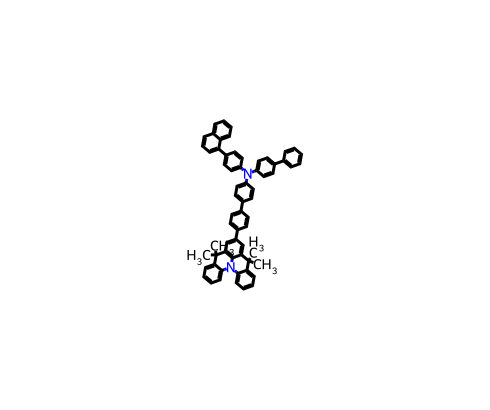 CC1(C)c2ccccc2N2c3ccccc3C(C)(C)c3cc(-c4ccc(-c5ccc(N(c6ccc(-c7ccccc7)cc6)c6ccc(-c7cccc8ccccc78)cc6)cc5)cc4)cc1c32